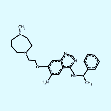 C[C@@H](Nc1ncnc2cc(OCCN3CCCN(C)CC3)c(N)cc12)c1ccccc1